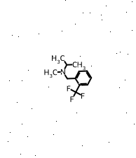 CC(C)N(C)Cc1ccccc1C(F)(F)F